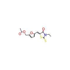 CCN1C(=O)/C(=C/c2ccc(COC(C)=O)o2)SC1=S